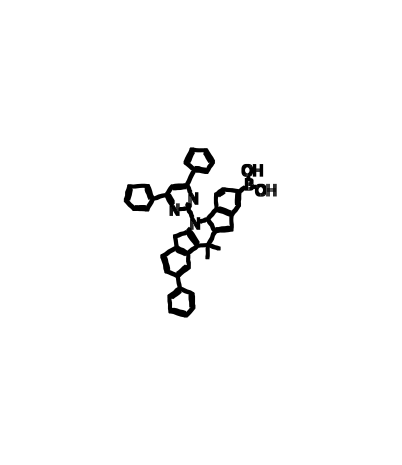 CC1(C)C2=Cc3cc(B(O)O)ccc3C2N(c2nc(-c3ccccc3)cc(-c3ccccc3)n2)C2=C1c1cc(-c3ccccc3)ccc1C2